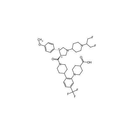 COc1ccc([C@@H]2CN(C3CCN(C(CF)CF)CC3)C[C@H]2C(=O)N2CCC(c3ccc(C(F)(F)F)cc3N3CCC(C(=O)O)CC3)CC2)cc1